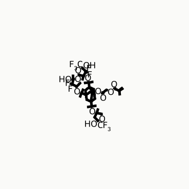 C=C(C)C(=O)OCC(=O)OC12CC3(C(C)(C)OC4COC(C)(O)C4(F)F)CC(C(C)(C)OC4(C)COC(O)(C(F)(F)F)C4)(C1)CC(C(C)(C)OC1(C)COC(O)(C(F)(F)F)C1(F)F)(C2)C3